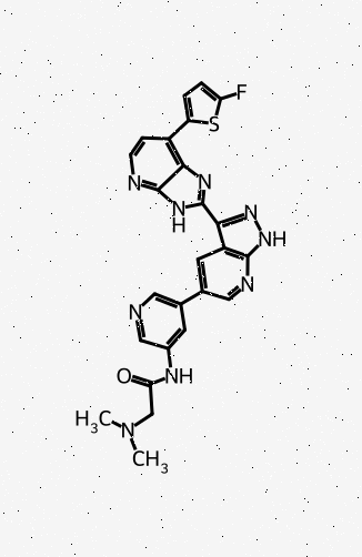 CN(C)CC(=O)Nc1cncc(-c2cnc3[nH]nc(-c4nc5c(-c6ccc(F)s6)ccnc5[nH]4)c3c2)c1